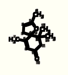 CC1=CCC2(O1)C(C)=CC(=O)CC2(C)C